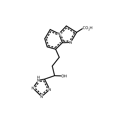 O=C(O)c1cn2cccc(CCC(O)c3nnn[nH]3)c2n1